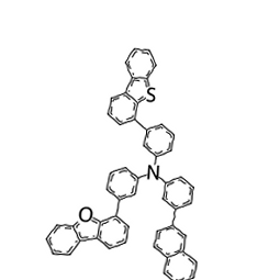 c1cc(-c2ccc3ccccc3c2)cc(N(c2cccc(-c3cccc4c3oc3ccccc34)c2)c2cccc(-c3cccc4c3sc3ccccc34)c2)c1